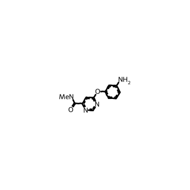 CNC(=O)c1cc(Oc2cccc(N)c2)ncn1